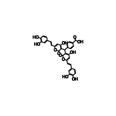 O=C(O)c1ccc(C(c2c(O)cc(C=Cc3ccc(O)c(O)c3)oc2=O)c2c(O)cc(C=Cc3ccc(O)c(O)c3)oc2=O)cc1